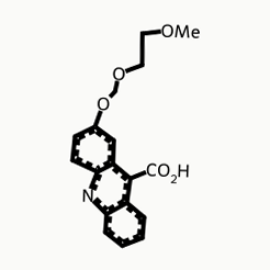 COCCOCOc1ccc2nc3ccccc3c(C(=O)O)c2c1